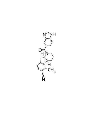 Cc1c(C#N)ccc2c1[C@@H]1CCCN(C(=O)c3ccc4[nH]cnc4c3)[C@@H]1C2